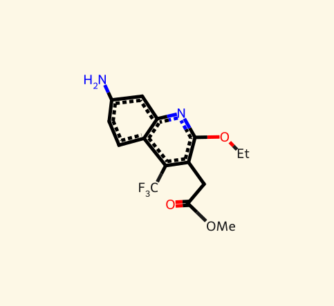 CCOc1nc2cc(N)ccc2c(C(F)(F)F)c1CC(=O)OC